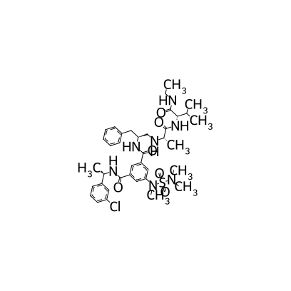 CCNC(=O)[C@@H](NC(=O)[C@H](C)NC[C@H](Cc1ccccc1)NC(=O)c1cc(C(=O)N[C@H](C)c2cccc(Cl)c2)cc(N(C)S(=O)(=O)N(C)C)c1)C(C)C